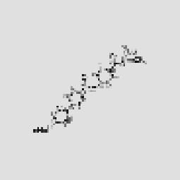 CCCCCCCCCc1cnc(-c2ccc(C(=O)Oc3ccc(C(=O)O[C@@H](CCCC)C(F)(F)F)cc3)cc2)nc1